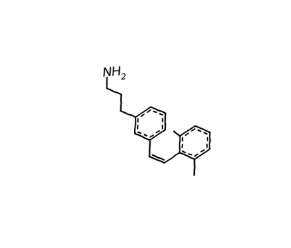 Cc1cccc(C)c1/C=C\c1cccc(CCCN)c1